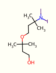 CC(C)(CCO)OCCC(C)(C)N(I)I